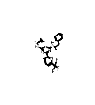 CC(Cc1ccccc1)Nc1nc(N[C@H](C)C2CC2)nc(-c2cccc(C(F)(F)F)n2)n1